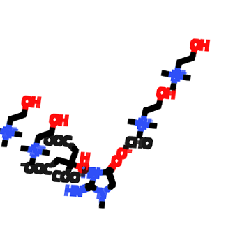 CN1CC(=O)NC1=N.C[N+](C)(C)CCO.C[N+](C)(C)CCO.C[N+](C)(C)CCO.C[N+](C)(C)CCO.O=C([O-])CC(O)(CC(=O)[O-])C(=O)[O-].O=C[O-]